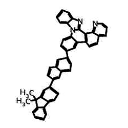 CC1(C)c2ccccc2-c2ccc(-c3ccc4cc(-c5ccc6c(c5)c5ccc7cccnc7c5c5nc7ccccc7n65)ccc4c3)cc21